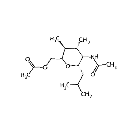 CC(=O)NC1[C@H](CC(C)C)OC(COC(C)=O)[C@@H](C)[C@@H]1C